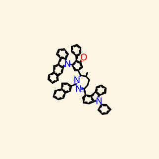 CC1CC/C(c2cccc3c2c2ccccc2n3-c2ccccc2)=N\C(c2ccc3ccccc3c2)=N/C1c1cc(-n2c3ccccc3c3cc4ccccc4cc32)c2c(c1)oc1ccccc12